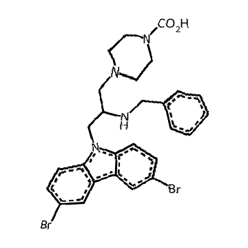 O=C(O)N1CCN(CC(Cn2c3ccc(Br)cc3c3cc(Br)ccc32)NCc2ccccc2)CC1